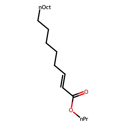 CCCCCCCCCCCCC/C=C/C(=O)OCCC